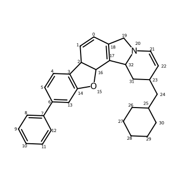 C1=CC2c3ccc(-c4ccccc4)cc3OC2C2=C1CN1C=CC(CC3CCCCC3)CC21